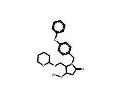 CC(=O)SC1CC(=O)N(Cc2ccc(Oc3ccccc3)cc2)C1COC1CCCCO1